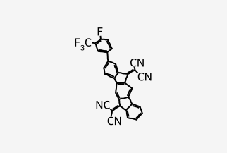 N#CC(C#N)=C1c2ccccc2-c2cc3c(cc21)-c1ccc(-c2ccc(F)c(C(F)(F)F)c2)cc1C3=C(C#N)C#N